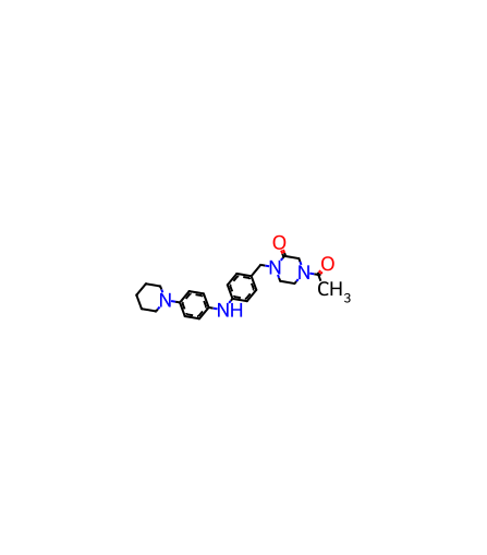 CC(=O)N1CCN(Cc2ccc(Nc3ccc(N4CCCCC4)cc3)cc2)C(=O)C1